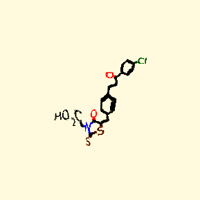 O=C(O)CN1C(=O)/C(=C\c2ccc(/C=C/C(=O)c3ccc(Cl)cc3)cc2)SC1=S